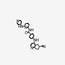 N#CC1CCc2nccc(Nc3ccc(C(=O)Nc4cccc(Nc5ccncc5)n4)cc3)c2C1